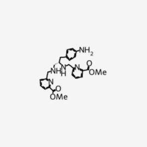 COC(=O)c1cccc(CNC[C@H](Cc2ccc(N)cc2)NCc2cccc(C(=O)OC)n2)n1